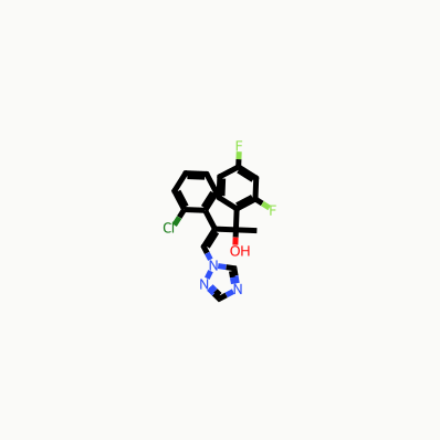 CC(O)(C(=Cn1cncn1)c1ccccc1Cl)c1ccc(F)cc1F